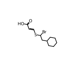 O=C(O)C=CSC(Br)CC1CCCCC1